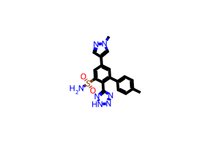 Cc1ccc(-c2cc(-c3cnn(C)c3)cc(S(N)(=O)=O)c2-c2nn[nH]n2)cc1